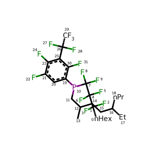 CCCCCCC(F)(F)C(F)(F)C(F)(F)P(CC(C)CCC(CC)CCC)c1cc(F)c(F)c(C(F)(F)C(F)(F)F)c1F